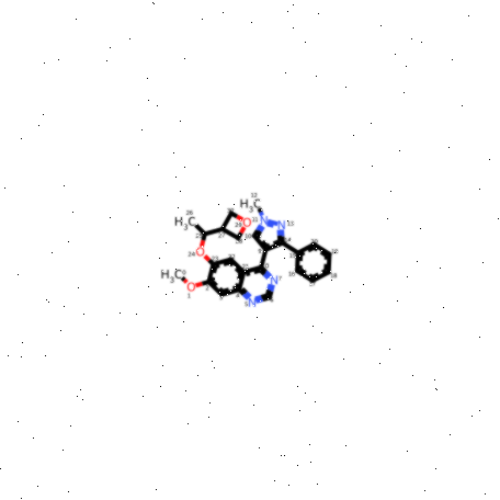 COc1cc2ncnc(-c3cn(C)nc3-c3ccccc3)c2cc1OC(C)C1COC1